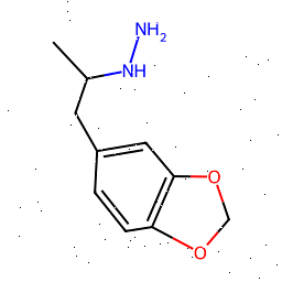 CC(Cc1ccc2c(c1)OCO2)NN